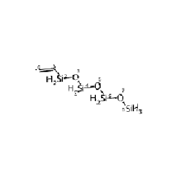 [CH]=C[SiH2]O[SiH2]O[SiH2]O[SiH3]